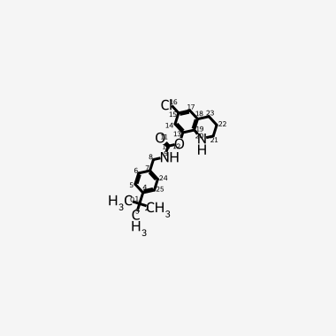 CC(C)(C)c1ccc(CNC(=O)Oc2cc(Cl)cc3c2NCCC3)cc1